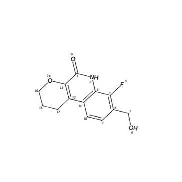 O=c1[nH]c2c(F)c(CO)ccc2c2c1OCCC2